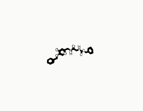 O=C(CNC(=O)OCc1ccccc1)NCc1cc(=O)c(OCc2ccccc2)co1